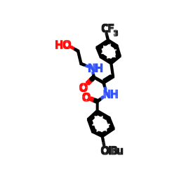 CC(C)COc1ccc(C(=O)NC(=Cc2ccc(C(F)(F)F)cc2)C(=O)NCCO)cc1